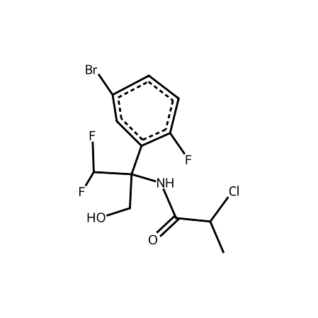 CC(Cl)C(=O)NC(CO)(c1cc(Br)ccc1F)C(F)F